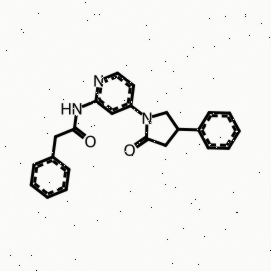 O=C(Cc1ccccc1)Nc1cc(N2CC(c3ccccc3)CC2=O)ccn1